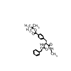 CCNC(=O)[C@H](Cc1ccc(C(=O)OC(C)(C)C)cc1)NC(=O)OCc1ccccc1